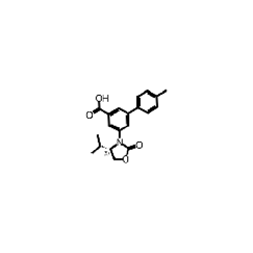 Cc1ccc(-c2cc(C(=O)O)cc(N3C(=O)OC[C@@H]3C(C)C)c2)cc1